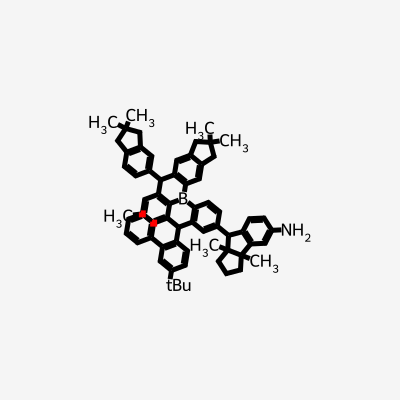 Cc1cc2c3c(c1)C(c1ccc(C(C)(C)C)cc1-c1ccccc1)c1cc(C4c5ccc(N)cc5C5(C)CCCC45C)ccc1B3c1cc3c(cc1C2c1ccc2c(c1)CC(C)(C)C2)CC(C)(C)C3